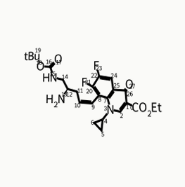 CCOC(=O)c1cn(C2CC2)c2c(/C=C\C[C@@H](N)CNC(=O)OC(C)(C)C)c(F)c(F)cc2c1=O